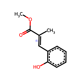 COC(=O)/C(C)=C/c1ccccc1O